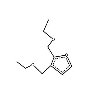 CCOCc1ccoc1COCC